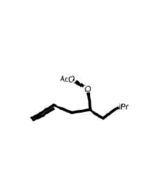 C=CCC(CC(C)C)OOC(C)=O